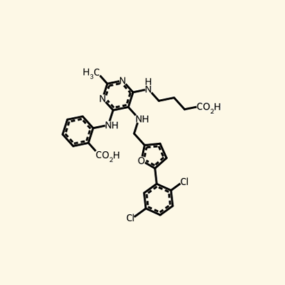 Cc1nc(NCCCC(=O)O)c(NCc2ccc(-c3cc(Cl)ccc3Cl)o2)c(Nc2ccccc2C(=O)O)n1